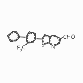 O=Cc1cnc2sc(-c3ccc(-c4ccccc4)c(C(F)(F)F)c3)cc2c1